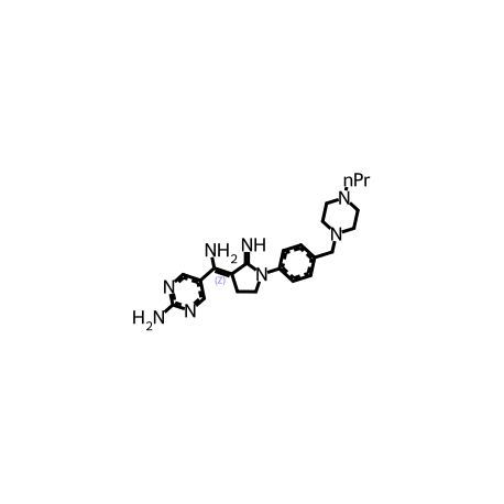 CCCN1CCN(Cc2ccc(N3CC/C(=C(/N)c4cnc(N)nc4)C3=N)cc2)CC1